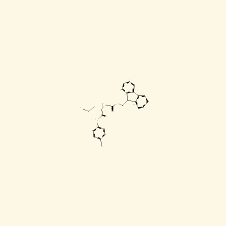 Cc1ccc(NC(=O)[C@H](CCN)NC(=O)OCC2c3ccccc3-c3ccccc32)cc1